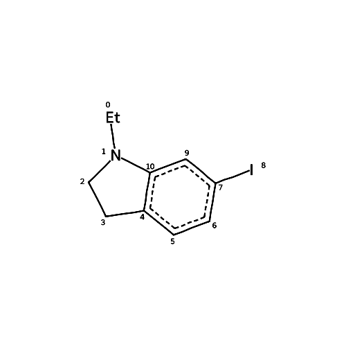 CCN1CCc2ccc(I)cc21